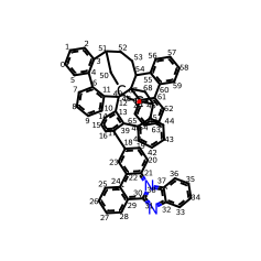 c1ccc2c(c1)-c1ccccc1C1c3cccc(-c4ccc5c(c4)c4ccccc4c4nc6ccccc6n54)c3-c3ccccc3C3CCCCC2CCC2c4ccccc4-c4ccccc4C21C3